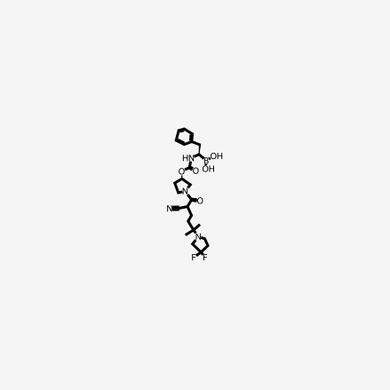 CC(C)(CCC(C#N)C(=O)N1CC[C@H](OC(=O)N[C@@H](Cc2ccccc2)B(O)O)C1)N1CCC(F)(F)C1